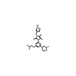 CCn1cc(Cn2c(C)c(C)n(-c3cc(OCC(F)F)cc(N4CCO[C@H](C)C4)c3)c2=O)cn1